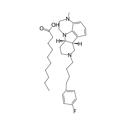 CCCCCCCCCC(=O)O.CN1CCN2c3c(cccc31)[C@@H]1CN(CCCCc3ccc(F)cc3)CC[C@@H]12